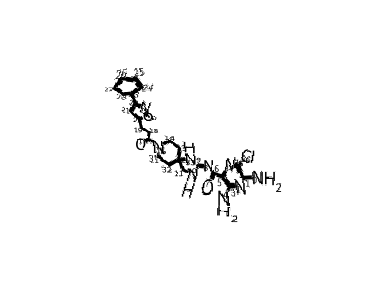 Nc1nc(N)c(C(=O)/N=C2\NCC3(CCN(C(=O)CCc4cc(-c5ccccc5)no4)CC3)N2)nc1Cl